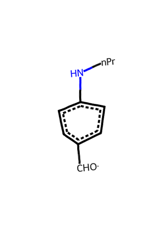 CCCNc1ccc([C]=O)cc1